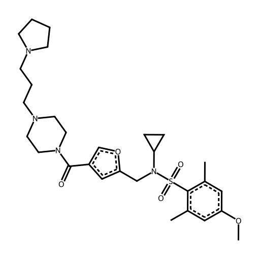 COc1cc(C)c(S(=O)(=O)N(Cc2cc(C(=O)N3CCN(CCCN4CCCC4)CC3)co2)C2CC2)c(C)c1